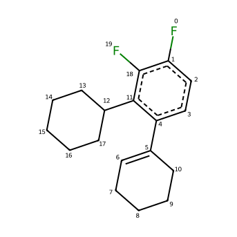 Fc1ccc(C2=CCCCC2)c(C2CCCCC2)c1F